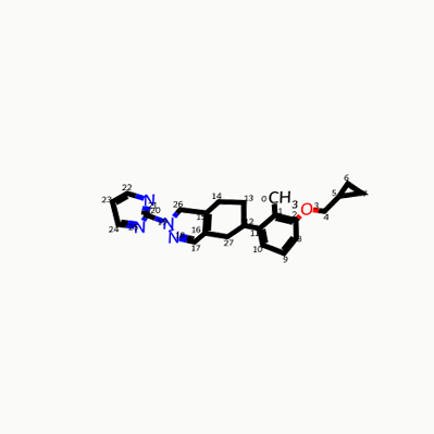 Cc1c(OCC2CC2)cccc1C1CCC2=C(C=NN(c3ncccn3)C2)C1